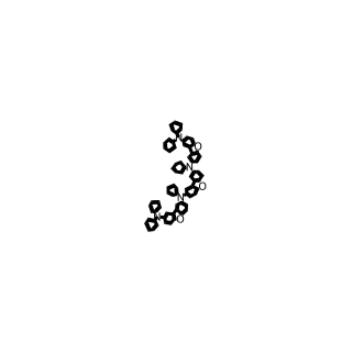 C1=CCCC(N(c2ccc3oc4ccc(N(c5ccccc5)c5ccccc5)cc4c3c2)c2ccc3oc4ccc(N(c5ccccc5)c5ccc6oc7ccc(N(c8ccccc8)c8ccccc8)cc7c6c5)cc4c3c2)=C1